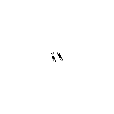 [O]=[BiH].[O]=[Y]